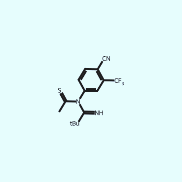 CC(=S)N(C(=N)C(C)(C)C)c1ccc(C#N)c(C(F)(F)F)c1